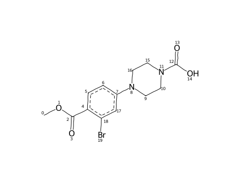 COC(=O)c1ccc(N2CCN(C(=O)O)CC2)cc1Br